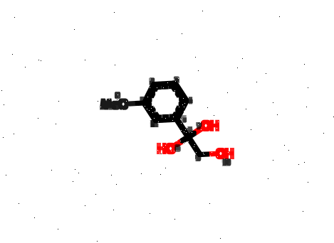 COc1cccc(C(O)(O)CO)c1